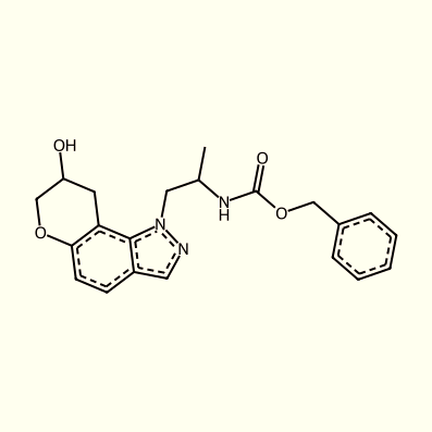 CC(Cn1ncc2ccc3c(c21)CC(O)CO3)NC(=O)OCc1ccccc1